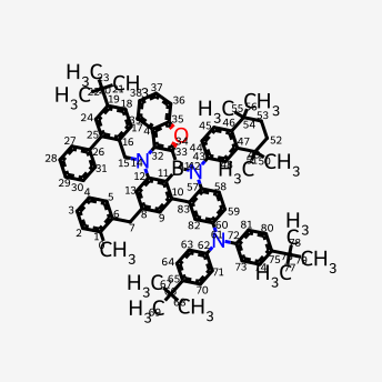 Cc1ccccc1Cc1cc2c3c(c1)N(Cc1ccc(C(C)(C)C)cc1-c1ccccc1)c1c(oc4ccccc14)B3N(c1ccc3c(c1)C(C)(C)CCC3(C)C)c1ccc(N(c3ccc(C(C)(C)C)cc3)c3ccc(C(C)(C)C)cc3)cc1-2